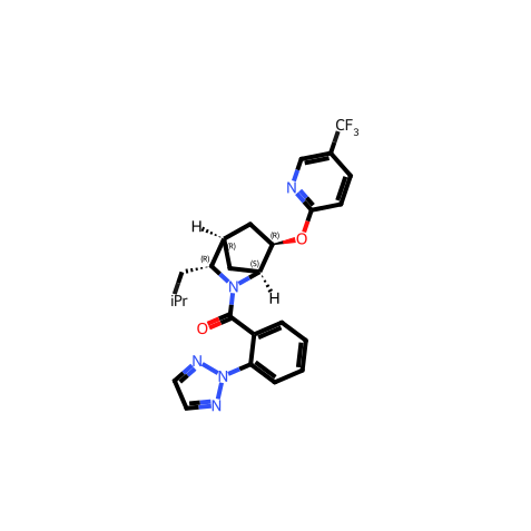 CC(C)C[C@@H]1[C@H]2C[C@@H](Oc3ccc(C(F)(F)F)cn3)[C@H](C2)N1C(=O)c1ccccc1-n1nccn1